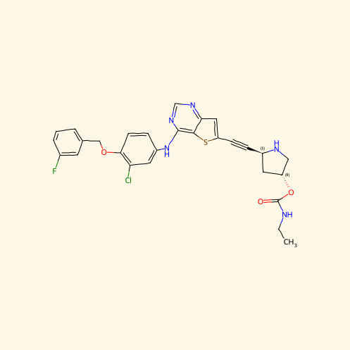 CCNC(=O)O[C@H]1CN[C@H](C#Cc2cc3ncnc(Nc4ccc(OCc5cccc(F)c5)c(Cl)c4)c3s2)C1